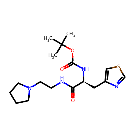 CC(C)(C)OC(=O)N[C@@H](Cc1cscn1)C(=O)NCCN1CCCC1